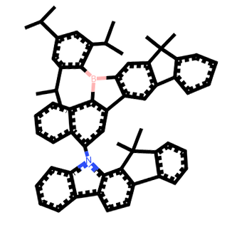 CC(C)c1cc(C(C)C)c(B2c3cc4c(cc3-c3cc(-n5c6ccccc6c6ccc7c(c65)C(C)(C)c5ccccc5-7)c5ccccc5c32)-c2ccccc2C4(C)C)c(C(C)C)c1